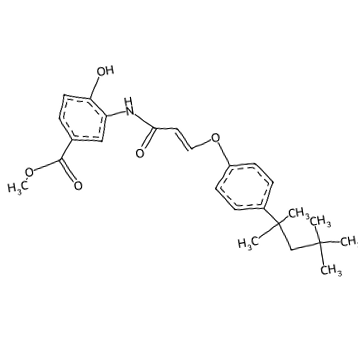 COC(=O)c1ccc(O)c(NC(=O)C=COc2ccc(C(C)(C)CC(C)(C)C)cc2)c1